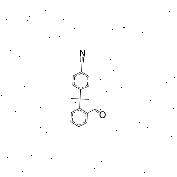 CC(C)(c1ccc(C#N)cc1)c1ccccc1C=O